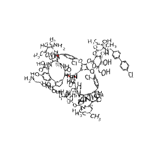 CC(C)C[C@H](C(=O)N[C@H]1C(=O)N[C@@H](CC(N)=O)C(=O)N[C@H]2C(=O)N[C@H]3C(=O)N[C@H](C(=O)N[C@H](C(=O)O)c4cc(O)ccc4-c4cc3ccc4C(O)O)[C@H](O[C@H]3C[C@](C)(N)[C@@H](O)[C@H](C)O3)c3ccc(c(Cl)c3)Oc3cc2cc(c3O[C@@H]2O[C@H](CO)[C@@H](O)[C@H](O)[C@H]2O[C@H]2C[C@](C)(NCc3ccc(-c4ccc(Cl)cc4)cc3)[C@@H](O)[C@H](C)O2)Oc2ccc(cc2Cl)[C@H]1O)N(C)C(=O)OCOC(=O)CNCCCNCCCN